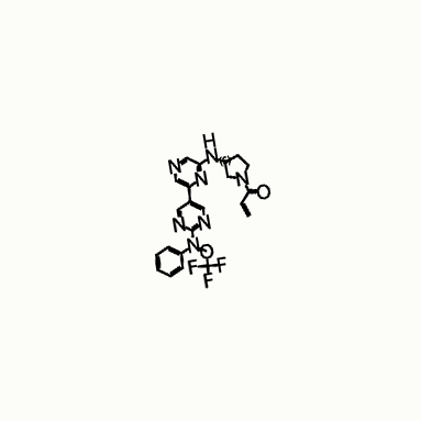 C=CC(=O)N1CC[C@H](Nc2cncc(-c3cnc(N(OC(F)(F)F)c4ccccc4)nc3)n2)C1